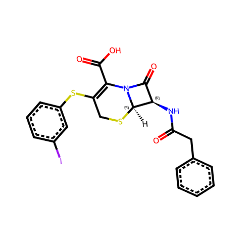 O=C(Cc1ccccc1)N[C@@H]1C(=O)N2C(C(=O)O)=C(Sc3cccc(I)c3)CS[C@H]12